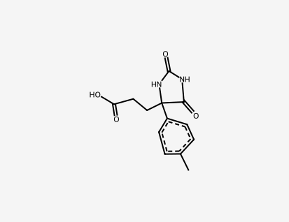 Cc1ccc(C2(CCC(=O)O)NC(=O)NC2=O)cc1